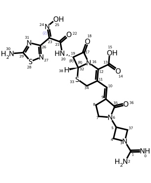 N=C(N)N1CC(N2CCC(=CC3=C(C(=O)O)N4C(=O)[C@@H](NC(=O)/C(=N\O)c5nsc(N)n5)[C@H]4SC3)C2=O)C1